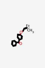 CCC(C)=CCOc1ccc(C(=O)c2ccccc2)cc1